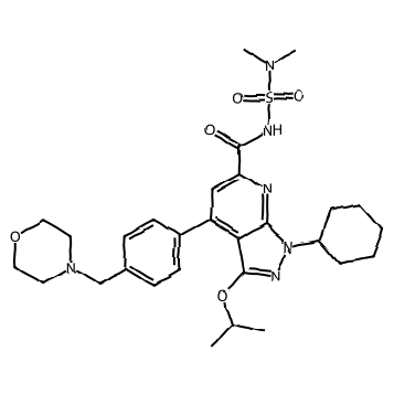 CC(C)Oc1nn(C2CCCCC2)c2nc(C(=O)NS(=O)(=O)N(C)C)cc(-c3ccc(CN4CCOCC4)cc3)c12